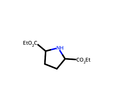 CCOC(=O)C1CCC(C(=O)OCC)N1